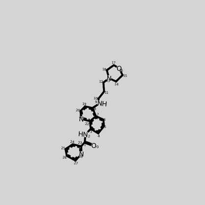 O=C(Nc1cccc2c(NCCCN3CCOCC3)ccnc12)c1ccccn1